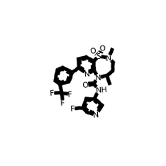 CC1CCN(C)S(=O)(=O)c2ccc(-c3cccc(C(F)(F)F)c3)nc2N1C(=O)Nc1cncc(F)c1